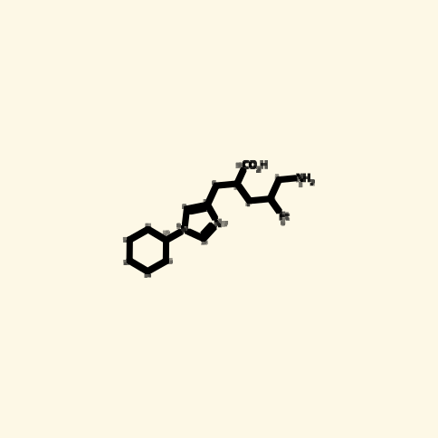 CCC(CN)CC(Cc1cn(C2CCCCC2)cn1)C(=O)O